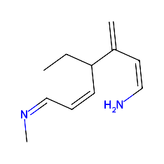 C=C(/C=C\N)C(/C=C\C=N/C)CC